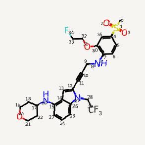 CS(=O)(=O)c1ccc(NCC#Cc2cc3c(NC4CCOCC4)cccc3n2CC(F)(F)F)c(OCCF)c1